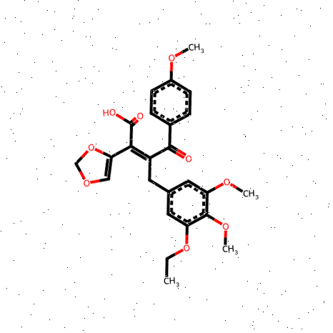 CCOc1cc(CC(C(=O)c2ccc(OC)cc2)=C(C(=O)O)C2=COCO2)cc(OC)c1OC